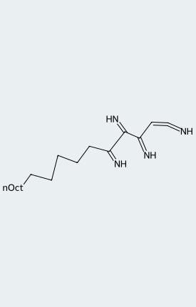 CCCCCCCCCCCCCC(=N)C(=N)C(=N)C=C=N